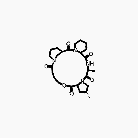 CC1NC(=O)C2CCCCN2C(=O)C2CCCN(C2)C(=O)CCCOC(=O)C2C[C@@H](C)CN2C1=O